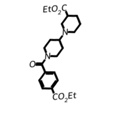 CCOC(=O)c1ccc(C(=O)N2CCC(N3CCCC(C(=O)OCC)C3)CC2)cc1